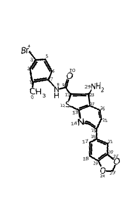 Cc1cc(Br)ccc1NC(=O)c1sc2nc(-c3ccc4c(c3)OCO4)ccc2c1N